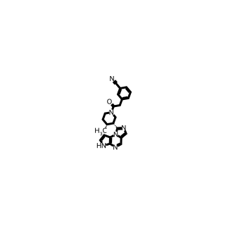 C[C@@H]1CCN(C(=O)Cc2cccc(C#N)c2)C[C@@H]1c1ncc2cnc3[nH]ccc3n12